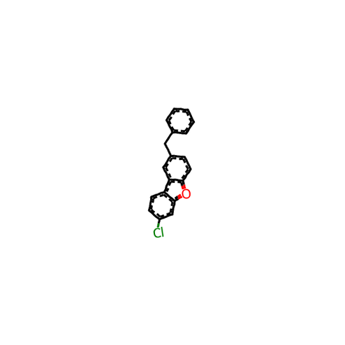 Clc1ccc2c(c1)oc1ccc(Cc3ccccc3)cc12